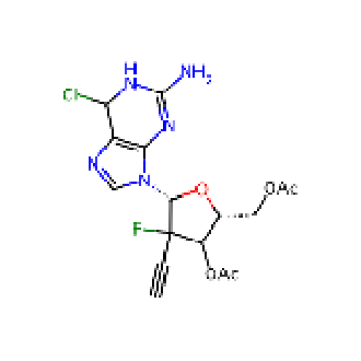 C#CC1(F)C(OC(C)=O)[C@@H](COC(C)=O)O[C@H]1n1cnc2c1N=C(N)NC2Cl